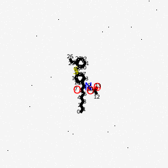 CCCCCCC(=O)C(=NOC(C)=O)c1ccc(Sc2ccccc2CC)cc1